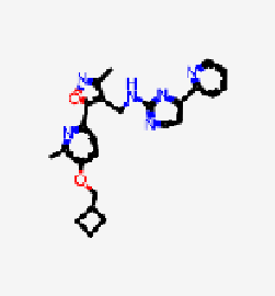 Cc1nc(-c2onc(C)c2CNc2nccc(-c3ccccn3)n2)ccc1OCC1CCC1